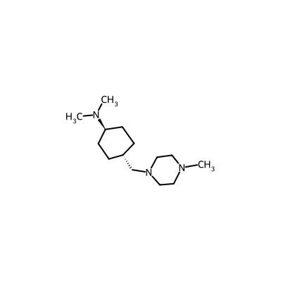 CN1CCN(C[C@H]2CC[C@H](N(C)C)CC2)CC1